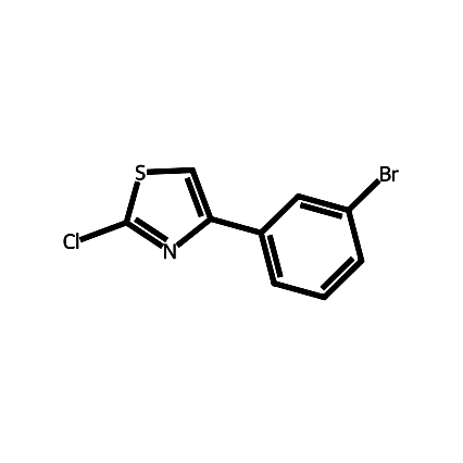 Clc1nc(-c2cccc(Br)c2)cs1